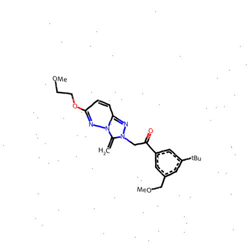 C=C1N(CC(=O)c2cc(COC)cc(C(C)(C)C)c2)N=C2C=CC(OCCOC)=NN12